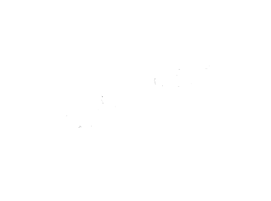 O=C(CCCCCCCC(=O)N1CCC(CN2CCCCC2)CC1)NCC(O)C(O)C(O)CCO